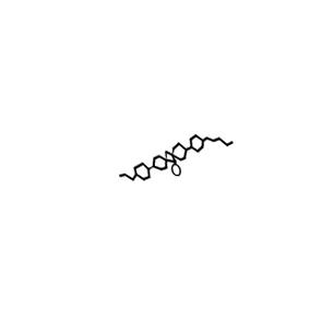 CCCCCC1CCC(C2CC[C@]3(CC2)C[C@@]2(CC[C@H](C4CCC(CCC)CC4)CC2)C3=O)CC1